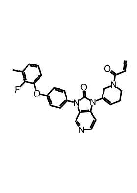 C=CC(=O)N1CCC=C(n2c(=O)n(-c3ccc(Oc4cccc(C)c4F)cc3)c3cnccc32)C1